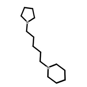 [CH](CCN1CCCCC1)CCN1CCCC1